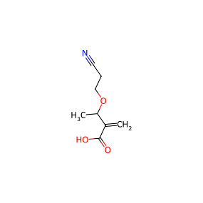 C=C(C(=O)O)C(C)OCCC#N